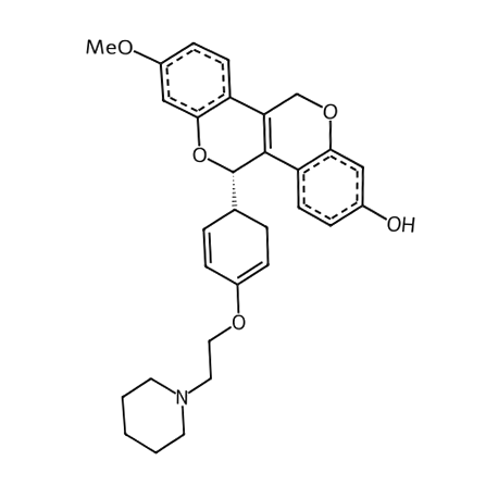 COc1ccc2c(c1)O[C@@H](C1C=CC(OCCN3CCCCC3)=CC1)C1=C2COc2cc(O)ccc21